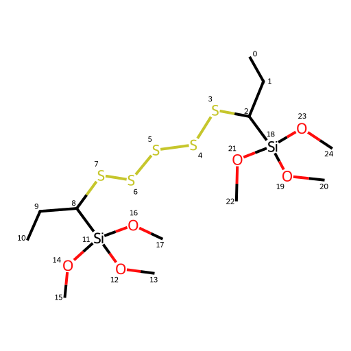 CCC(SSSSSC(CC)[Si](OC)(OC)OC)[Si](OC)(OC)OC